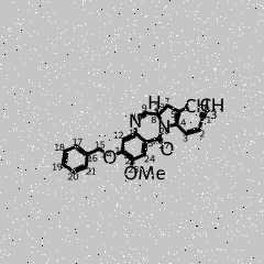 C#C/C=C\C1=C(C)C[C@H]2C=Nc3cc(OCc4ccccc4)c(OC)cc3C(=O)N12